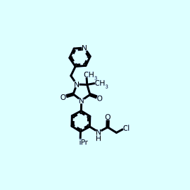 CC(C)c1ccc(N2C(=O)N(Cc3ccncc3)C(C)(C)C2=O)cc1NC(=O)CCl